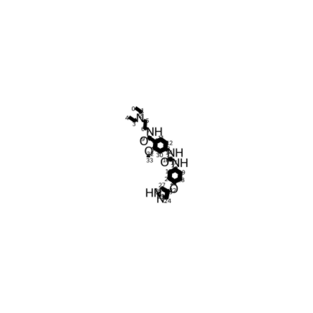 CCN(CC)CCNC(=O)c1ccc(NC(=O)Nc2ccc(Oc3cn[nH]c3)cc2)cc1OC